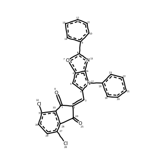 O=C1C(=Cc2cc3oc(-c4ccccc4)nc3n2-c2ccccc2)C(=O)c2c(Cl)ccc(Cl)c21